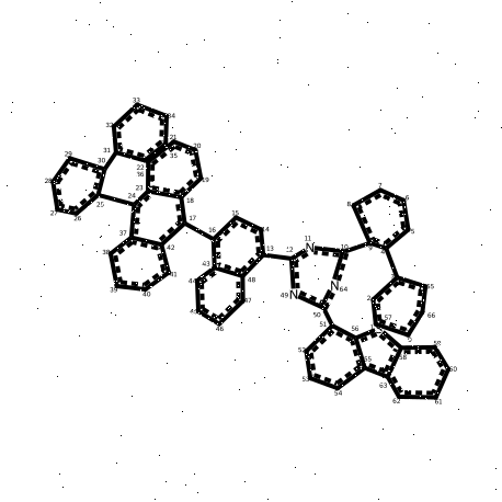 c1ccc(-c2ccccc2-c2nc(-c3ccc(-c4c5ccccc5c(-c5ccccc5-c5ccccc5)c5ccccc45)c4ccccc34)nc(-c3cccc4c3sc3ccccc34)n2)cc1